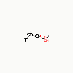 C=C[C@@](C)(/C=C/c1ccc(OCC(O)OCC)cc1)CCC=C(C)C